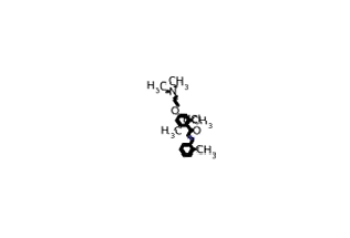 CCN(CC)CCCOc1cc(C)c(C(=O)/C=C/c2ccccc2C)c(C)c1.Cl